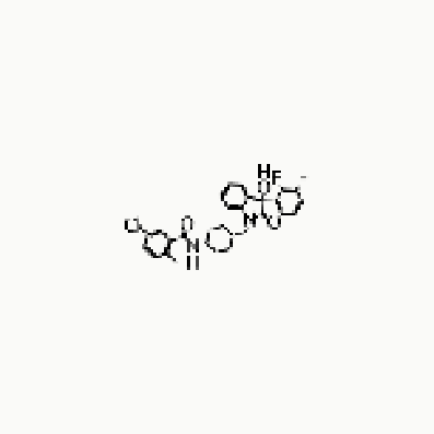 Cc1ccc(Cl)cc1C(=O)N[C@H]1CC[C@H](CN2C(=O)C(O)(c3cccc(F)c3F)c3ccccc32)CC1